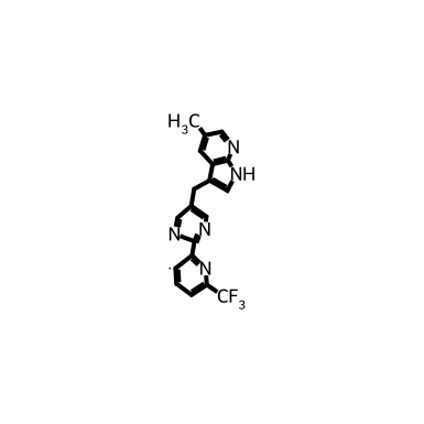 Cc1cnc2[nH]cc(Cc3cnc(-c4[c]ccc(C(F)(F)F)n4)nc3)c2c1